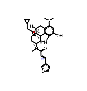 CN(C)c1cc(O)c2c3c1C[C@@H]1[C@@H]4CC[C@H](N(C)C(=O)/C=C/c5ccoc5)[C@H](O2)[C@]34CCN1CC1CC1